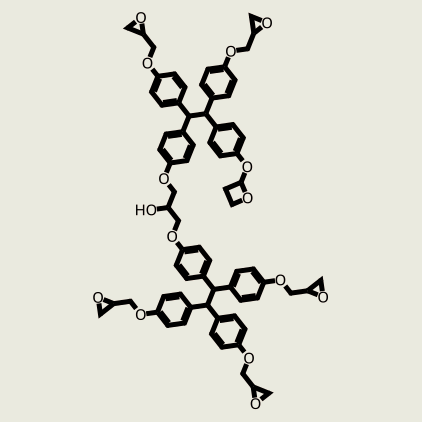 OC(COc1ccc(C(c2ccc(OCC3CO3)cc2)C(c2ccc(OCC3CO3)cc2)c2ccc(OCC3CO3)cc2)cc1)COc1ccc(C(c2ccc(OCC3CO3)cc2)C(c2ccc(OCC3CO3)cc2)c2ccc(OC3CCO3)cc2)cc1